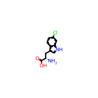 N[C@@H](Cc1c[nH]c2cc(Cl)ccc12)C(=O)O